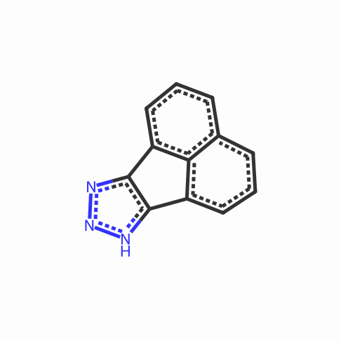 c1cc2c3c(cccc3c1)-c1[nH]nnc1-2